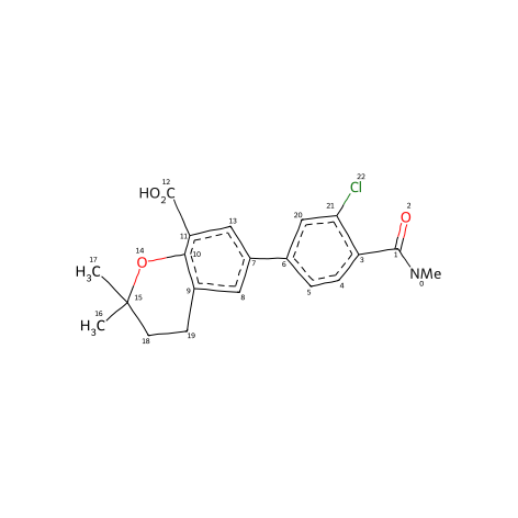 CNC(=O)c1ccc(-c2cc3c(c(C(=O)O)c2)OC(C)(C)CC3)cc1Cl